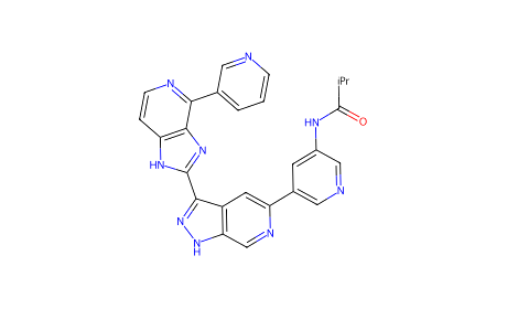 CC(C)C(=O)Nc1cncc(-c2cc3c(-c4nc5c(-c6cccnc6)nccc5[nH]4)n[nH]c3cn2)c1